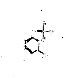 NC1C=CC=CS1.O=P(O)(O)O